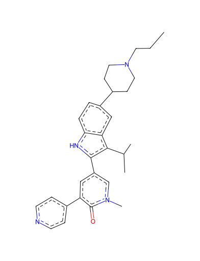 CCCN1CCC(c2ccc3[nH]c(-c4cc(-c5ccncc5)c(=O)n(C)c4)c(C(C)C)c3c2)CC1